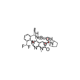 C#C[C@@H](Nc1ncnc2c1cc(C1(O)CC3CCC(C1)N3C(=O)OC(C)(C)C)c(=O)n2C)c1cccc(C(F)F)c1F